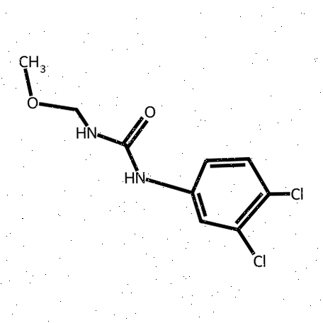 COCNC(=O)Nc1ccc(Cl)c(Cl)c1